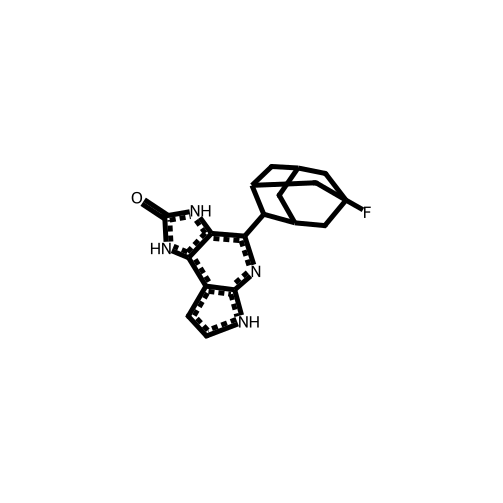 O=c1[nH]c2c(C3C4CC5CC3CC(F)(C5)C4)nc3[nH]ccc3c2[nH]1